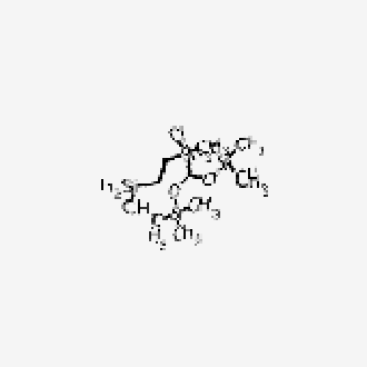 C[SiH2]CC[Si](C)(Cl)C(O[Si](C)(C)C)O[Si](C)(C)C